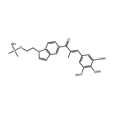 COc1cc(/C=C(\C)C(=O)c2ccc3c(ccn3CCO[Si](C)(C)C(C)(C)C)c2)cc(OC)c1OC